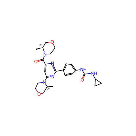 C[C@H]1COCCN1C(=O)c1cc(N2CCOC[C@@H]2C)nc(-c2ccc(NC(=O)NC3CC3)cc2)n1